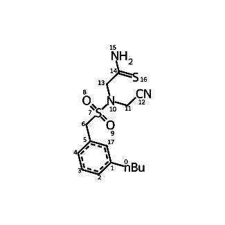 CCCCc1cccc(CS(=O)(=O)N(CC#N)CC(N)=S)c1